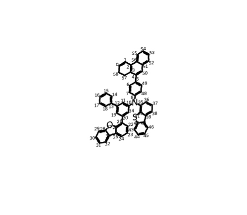 C1=Cc2c(c(-c3ccc(N(c4cc(-c5ccccc5)cc(-c5cccc6c5oc5ccccc56)c4)c4cccc5c4sc4ccccc45)cc3)cc3ccccc23)CC1